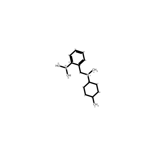 CC1CCC(N(C)Cc2ccccc2B(O)O)CC1